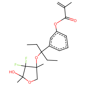 C=C(C)C(=O)Oc1cccc(C(CC)(CC)OC2(C)COC(C)(O)C2(F)F)c1